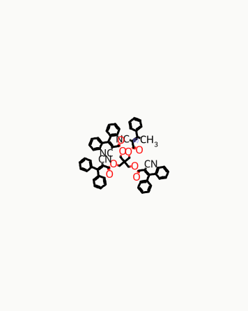 C/C(=C(/C#N)C(=O)OCC(COC(=O)C(C#N)=C(c1ccccc1)c1ccccc1)(COC(=O)C(C#N)=C(c1ccccc1)c1ccccc1)COC(=O)C(C#N)=C(c1ccccc1)c1ccccc1)c1ccccc1